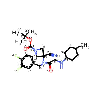 CC1CCC(NCC(=O)N(Cc2ccc(F)c(F)c2)C2(C#N)CN(C(=O)OC(C)(C)C)C2)CC1